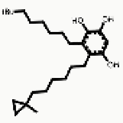 CC(C)(C)CCCCCCc1c(O)c(O)cc(O)c1CCCCCCC1(C)CC1